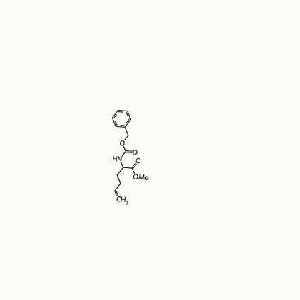 C=CCCC(NC(=O)OCc1ccccc1)C(=O)OC